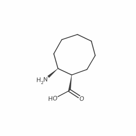 N[C@H]1CCCCCC[C@H]1C(=O)O